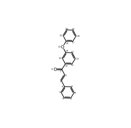 O=C(C=Cc1ccccc1)c1cccc(Oc2ccccc2)c1